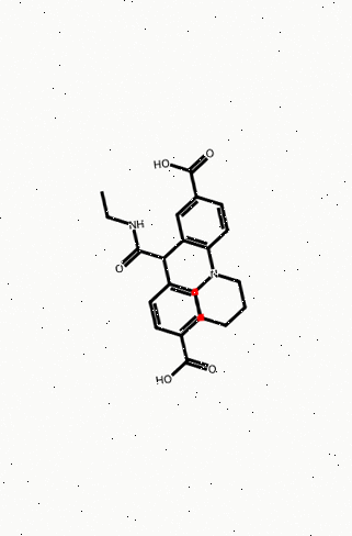 CCNC(=O)C(c1ccc(C(=O)O)cc1)c1cc(C(=O)O)ccc1N1CCCCC1